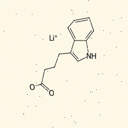 O=C([O-])CCCc1c[nH]c2ccccc12.[Li+]